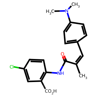 CC(=Cc1ccc(N(C)C)cc1)C(=O)Nc1ccc(Cl)cc1C(=O)O